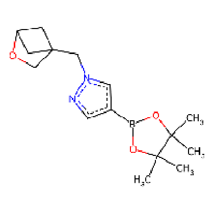 CC1(C)OB(c2cnn(CC34COC(C3)C4)c2)OC1(C)C